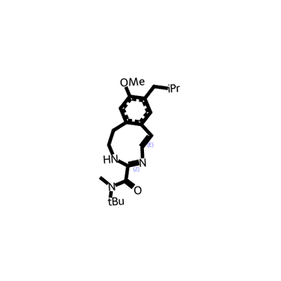 COc1cc2c(cc1CC(C)C)/C=C/N=C(/C(=O)N(C)C(C)(C)C)NCC2